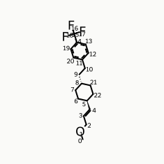 COCC=C[C@H]1CC[C@H](CCc2ccc(C(F)(F)F)cc2)CC1